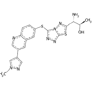 C[C@@H](O)[C@@H](N)c1nn2c(Sc3ccc4ncc(-c5cnn(C)c5)cc4c3)nnc2s1